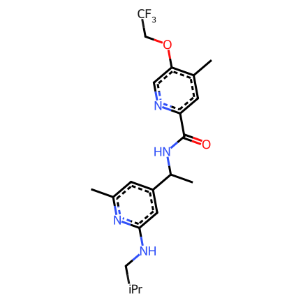 Cc1cc(C(C)NC(=O)c2cc(C)c(OCC(F)(F)F)cn2)cc(NCC(C)C)n1